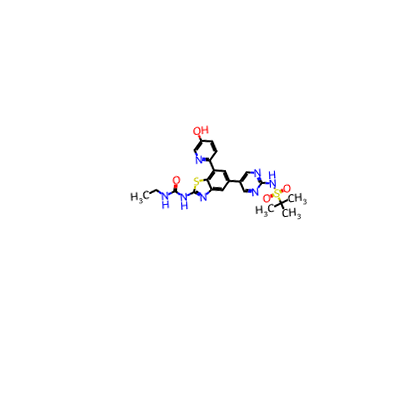 CCNC(=O)Nc1nc2cc(-c3cnc(NS(=O)(=O)C(C)(C)C)nc3)cc(-c3ccc(O)cn3)c2s1